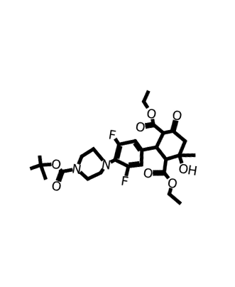 CCOC(=O)C1C(=O)CC(C)(O)C(C(=O)OCC)C1c1cc(F)c(N2CCN(C(=O)OC(C)(C)C)CC2)c(F)c1